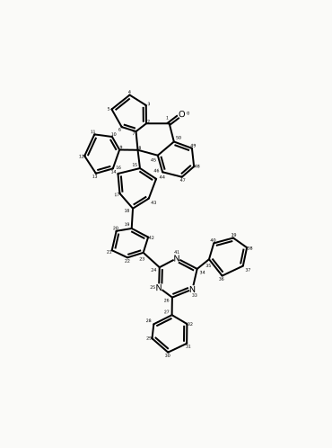 O=C1c2ccccc2C(c2ccccc2)(c2ccc(-c3cccc(-c4nc(-c5ccccc5)nc(-c5ccccc5)n4)c3)cc2)c2ccccc21